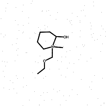 CCOC[N+]1(C)CCCCC1O